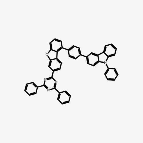 c1ccc(-c2nc(-c3ccccc3)nc(-c3ccc4c(c3)oc3cccc(-c5ccc(-c6ccc7c(c6)c6ccccc6n7-c6ccccc6)cc5)c34)n2)cc1